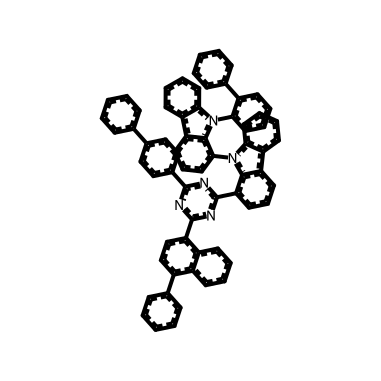 c1ccc(-c2ccc(-c3nc(-c4ccc(-c5ccccc5)c5ccccc45)nc(-c4cccc5c6ccccc6n(-c6cccc7c8ccccc8n(-c8ccccc8-c8ccccc8)c67)c45)n3)cc2)cc1